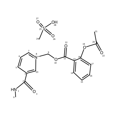 CNC(=O)c1ccc[n+](COC(=O)c2ccccc2OC(C)=O)c1.CS(=O)(=O)O